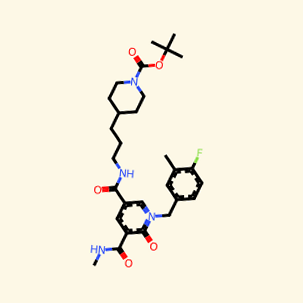 CNC(=O)c1cc(C(=O)NCCCC2CCN(C(=O)OC(C)(C)C)CC2)cn(Cc2ccc(F)c(C)c2)c1=O